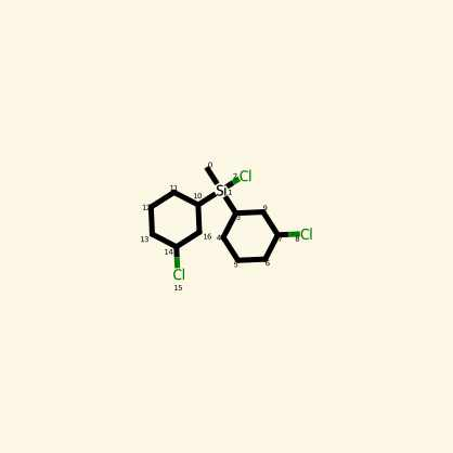 C[Si](Cl)(C1CCCC(Cl)C1)C1CCCC(Cl)C1